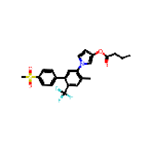 CCCC(=O)Oc1ccn(-c2cc(-c3ccc(S(C)(=O)=O)cc3)c(C(F)(F)F)cc2C)c1